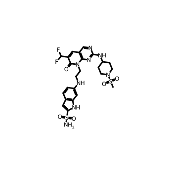 CS(=O)(=O)N1CCC(Nc2ncc3cc(C(F)F)c(=O)n(CCNc4ccc5cc(S(N)(=O)=O)[nH]c5c4)c3n2)CC1